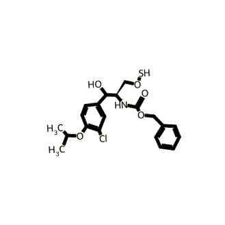 CC(C)Oc1ccc(C(O)[C@@H](COS)NC(=O)OCc2ccccc2)cc1Cl